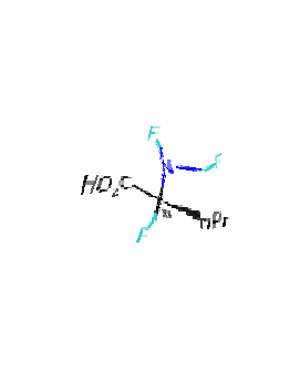 CCC[C@@](F)(C(=O)O)N(F)F